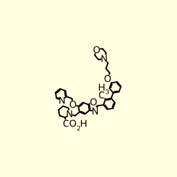 Cc1c(-c2cccc(OCCCN3CCOCC3)c2)cccc1-c1nc2cc(CN3CCCCC3C(=O)O)c(OCc3ccccn3)cc2o1